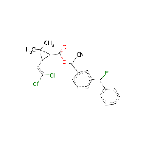 CC1(C)C(C=C(Cl)Cl)C1C(=O)OC(C#N)c1cccc(C(F)c2ccccc2)c1